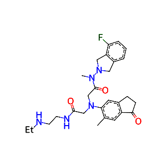 CCNCCNC(=O)CN(CC(=O)N(C)N1Cc2cccc(F)c2C1)c1cc2c(cc1C)C(=O)CC2